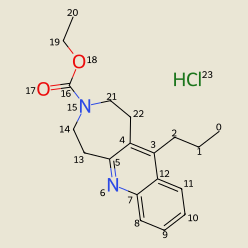 CCCc1c2c(nc3ccccc13)CCN(C(=O)OCC)CC2.Cl